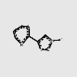 Cln1cc(-c2ncccn2)nn1